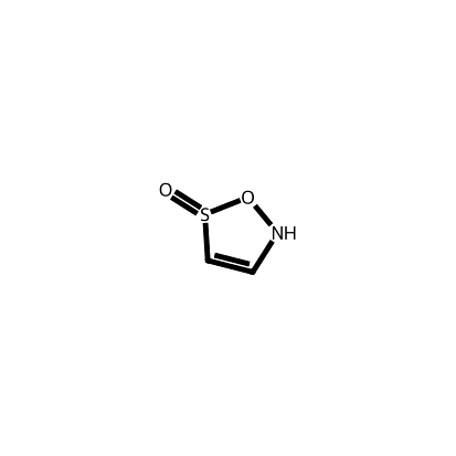 O=S1C=CNO1